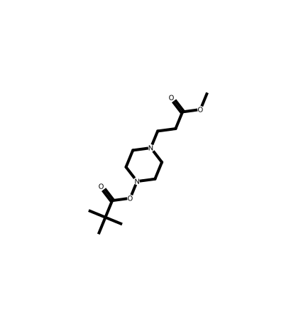 COC(=O)CCN1CCN(OC(=O)C(C)(C)C)CC1